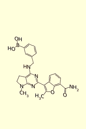 Cc1oc2c(C(N)=O)cccc2c1-c1nc(NCc2cccc(B(O)O)c2)c2c(n1)N(C)CC2